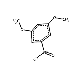 COc1cc(OC)cc([N+](=O)[O-])c1